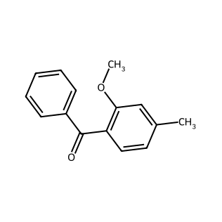 COc1cc(C)ccc1C(=O)c1ccccc1